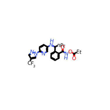 CCCC(Nc1ccc(-n2cc(C(F)(F)F)cn2)nc1)c1ccccc1C(=O)NOC(=O)CC